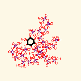 O=P(O)(O)OP(=O)(O)OP(=O)(O)OP(=O)(O)OP(=O)(O)OC1C(O)C(OP(=O)(O)OP(=O)(O)OP(=O)(O)OP(=O)(O)OP(=O)(O)O)C(OP(=O)(O)OP(=O)(O)OP(=O)(O)OP(=O)(O)OP(=O)(O)O)C(OP(=O)(O)OP(=O)(O)OP(=O)(O)OP(=O)(O)OP(=O)(O)O)C1OP(=O)(O)OP(=O)(O)OP(=O)(O)OP(=O)(O)OP(=O)(O)O